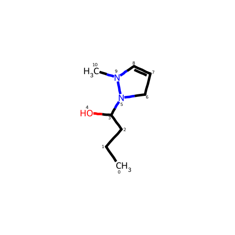 CCCC(O)N1CC=CN1C